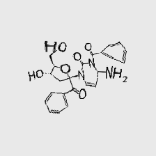 NC1C=CN([C@@]2(C(=O)c3ccccc3)C[C@H](O)[C@@H](CO)O2)C(=O)N1C(=O)c1ccccc1